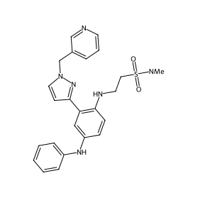 CNS(=O)(=O)CCNc1ccc(Nc2ccccc2)cc1-c1ccn(Cc2cccnc2)n1